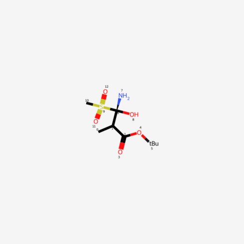 CC(C(=O)OC(C)(C)C)[C@@](N)(O)S(C)(=O)=O